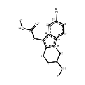 CNC1CCc2c(CC(=O)OC)c3cc(Cl)ccc3n2C1